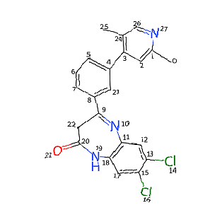 Cc1cc(-c2cccc(C3=Nc4cc(Cl)c(Cl)cc4NC(=O)C3)c2)c(C)cn1